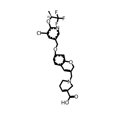 C[C@H](Oc1ncc(COc2ccc3c(c2)OCC(CN2CCC=C(C(=O)O)C2)=C3)cc1Cl)C(F)(F)F